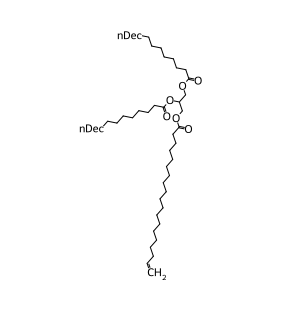 C=CCCCCCCCCCCCCCCCCC(=O)OCC(COC(=O)CCCCCCCCCCCCCCCCC)OC(=O)CCCCCCCCCCCCCCCCC